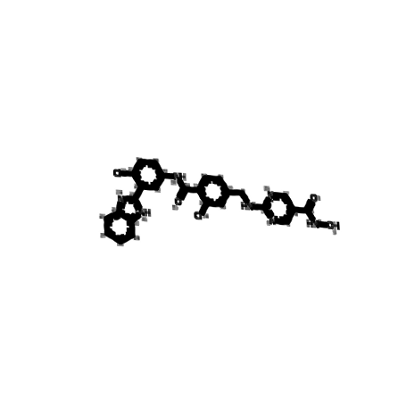 O=C(NO)c1cnc(NCc2ccc(C(=O)Nc3ccc(Cl)c(-c4nc5ccccc5[nH]4)c3)c(Cl)c2)nc1